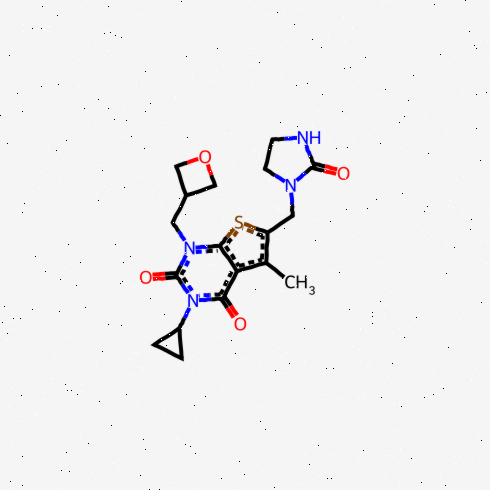 Cc1c(CN2CCNC2=O)sc2c1c(=O)n(C1CC1)c(=O)n2CC1COC1